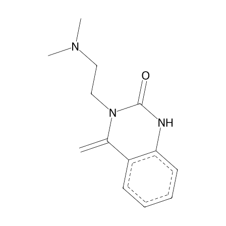 C=C1c2ccccc2NC(=O)N1CCN(C)C